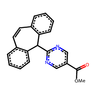 COC(=O)c1cnc(C2c3ccccc3C=Cc3ccccc32)nc1